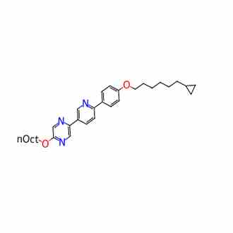 CCCCCCCCOc1cnc(-c2ccc(-c3ccc(OCCCCCCC4CC4)cc3)nc2)cn1